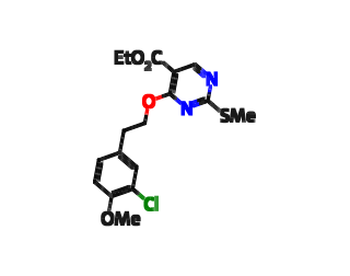 CCOC(=O)c1cnc(SC)nc1OCCc1ccc(OC)c(Cl)c1